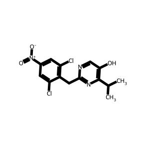 CC(C)c1nc(Cc2c(Cl)cc([N+](=O)[O-])cc2Cl)ncc1O